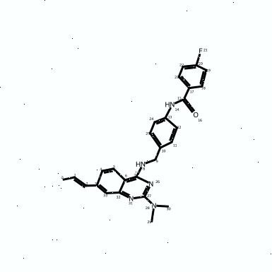 CC=Cc1ccc2c(NCc3ccc(NC(=O)c4ccc(F)cc4)cc3)nc(N(C)C)nc2c1